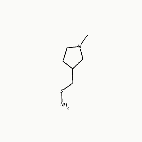 CN1CCC(CSN)C1